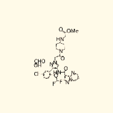 COC(=O)CNC1CCN(C(=O)Cn2cc(NC(=O)c3cnn4cccnc34)c(-c3cc(Cl)ccc3OC(F)F)n2)CC1.O=CO